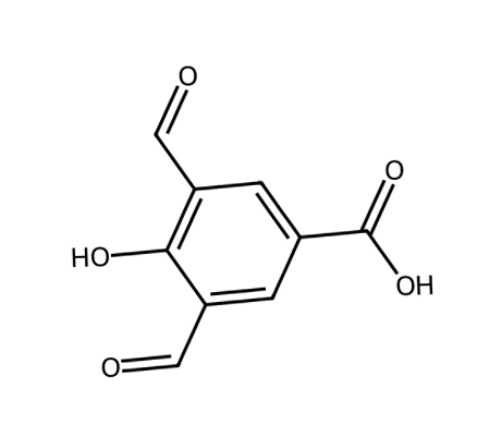 O=Cc1cc(C(=O)O)cc(C=O)c1O